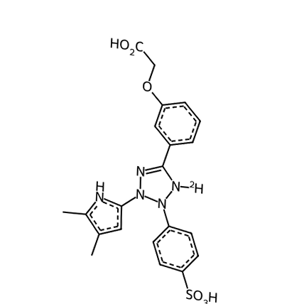 [2H]N1C(c2cccc(OCC(=O)O)c2)=NN(c2cc(C)c(C)[nH]2)N1c1ccc(S(=O)(=O)O)cc1